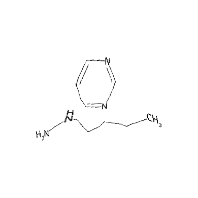 CCCCNN.c1cncnc1